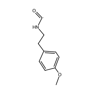 COc1ccc(CCN[C]=O)cc1